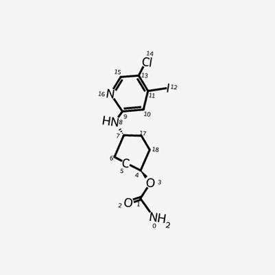 NC(=O)O[C@H]1CC[C@H](Nc2cc(I)c(Cl)cn2)CC1